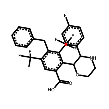 O=C(O)c1cc(C(F)(F)F)c(Cc2ccccc2)c(C(F)(F)F)c1C1OCCNC1c1ccc(F)cc1